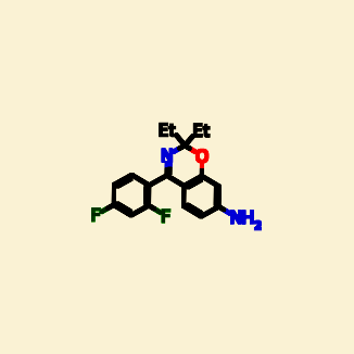 CCC1(CC)N=C(c2ccc(F)cc2F)c2ccc(N)cc2O1